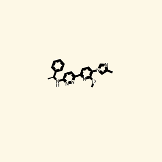 COc1nc(-c2ccc(N[C@@H](C)c3ccccc3)nn2)ccc1-n1cnc(C)c1